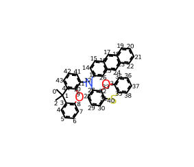 CC1(C)c2ccccc2Oc2c(N(c3ccc4cc5ccccc5cc4c3)c3cccc4c3Oc3ccccc3S4)cccc21